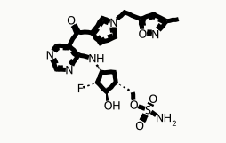 Cc1cc(Cn2ccc(C(=O)c3cncnc3N[C@@H]3C[C@H](COS(N)(=O)=O)[C@@H](O)[C@@H]3F)c2)on1